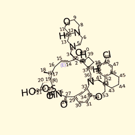 CO[C@@]1(CN2CCN3CCOC[C@@H]3C2)/C=C/C[C@H](C)[C@@H](CCO)S(=O)(=O)NC(=O)c2ccc3c(c2)N(C[C@@H]2CC[C@H]21)C[C@@]1(CCCc2cc(Cl)ccc21)CO3